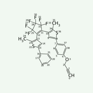 C#CCOc1ccc(-c2cc(C3=C(c4cc(-c5ccccc5)sc4C)C(F)(F)C(F)(F)C3(F)F)c(C)s2)cc1